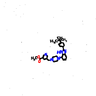 COC(=O)c1cncc(CN2CCN(c3cccc4nc(-c5ccc(C(C)(C)C)cc5)[nH]c34)CC2)c1